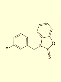 Fc1cccc(Cn2c(=S)oc3ccccc32)c1